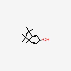 CC(C)(C)C1=CC(O)C=CC1(C)C(C)(C)C